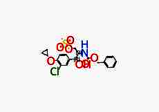 CS(=O)(=O)OC[C@@H](NC(=O)OCc1ccccc1)[C@H](O)c1ccc(OC2CC2)c(Cl)c1